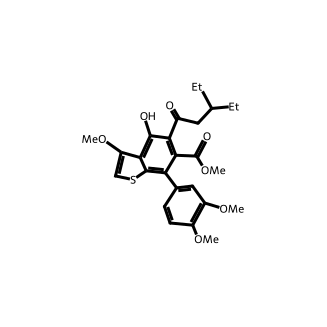 CCC(CC)CC(=O)c1c(C(=O)OC)c(-c2ccc(OC)c(OC)c2)c2scc(OC)c2c1O